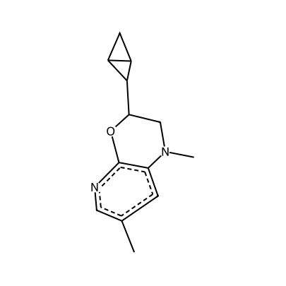 Cc1cnc2c(c1)N(C)CC(C1C3CC31)O2